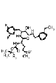 CCc1cccc(CNC[C@@H](O)[C@H](Cc2cc(F)cc(F)c2)NC(=O)[C@@H](CC[S+](C)[O-])NC(=O)OC(C)(C)C)c1